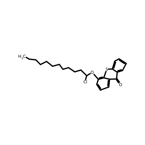 CCCCCCCCCCCC(Cl)Oc1cccc2c(=O)c3ccccc3sc12